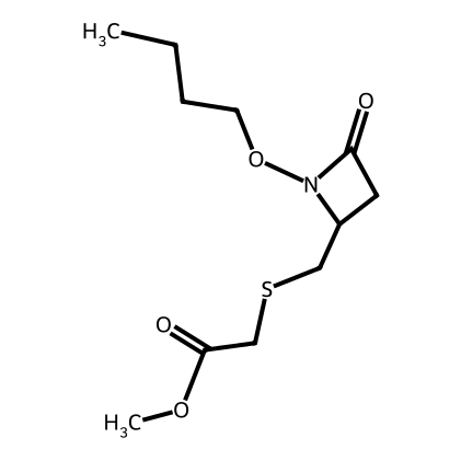 CCCCON1C(=O)CC1CSCC(=O)OC